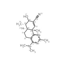 Cc1nc(N(C)C)c2c(n1)[C@@]1(C)C=C(C#N)C(O)[C@@H](C)[C@@H]1CC2